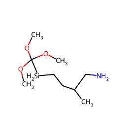 COC(OC)(OC)[SiH2]CCC(C)CN